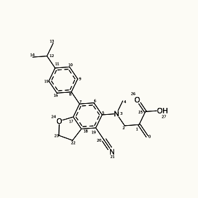 C=C(CN(C)c1cc(-c2ccc(C(C)C)cc2)c2c(c1C#N)CCO2)C(=O)O